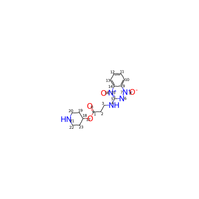 O=C(CCNc1n[n+]([O-])c2ccccc2[n+]1[O-])OC1CCNCC1